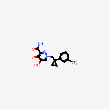 NC(=O)c1nn(CC2(c3cccc(C(F)(F)F)c3)CC2)cc(O)c1=O